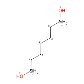 O[SiH2]CCCCC[SiH2]O